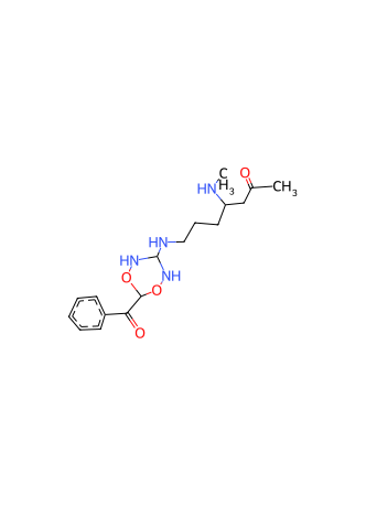 CNC(CCCNC1NOC(C(=O)c2ccccc2)ON1)CC(C)=O